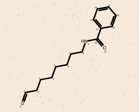 O=[C]CCCCCCCNC(=O)c1ccccc1